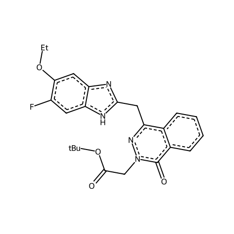 CCOc1cc2nc(Cc3nn(CC(=O)OC(C)(C)C)c(=O)c4ccccc34)[nH]c2cc1F